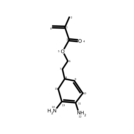 C=C(C)C(=O)OCCC1C=CC(N)=C(N)C1